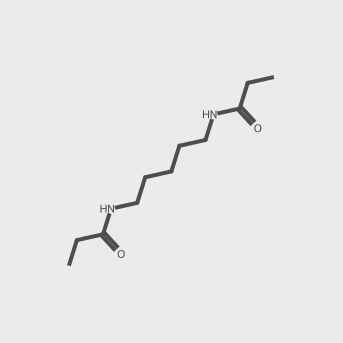 CCC(=O)NCCCCCNC(=O)CC